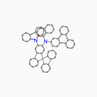 c1ccc2c(c1)-c1ccccc1C21c2ccccc2-c2cc(-n3c4ccccc4c4ccccc43)c(N(c3ccc4c5ccccc5c5ccccc5c4c3)c3cccc4ccccc34)cc21